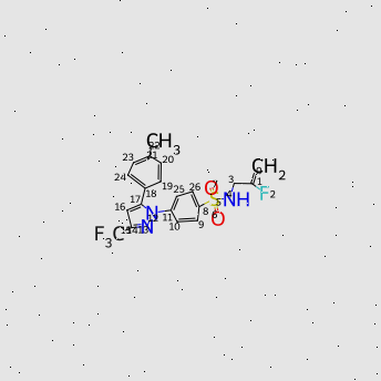 C=C(F)CNS(=O)(=O)c1ccc(-n2nc(C(F)(F)F)cc2-c2ccc(C)cc2)cc1